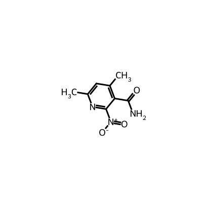 Cc1cc(C)c(C(N)=O)c([N+](=O)[O-])n1